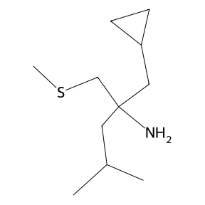 CSCC(N)(CC(C)C)CC1CC1